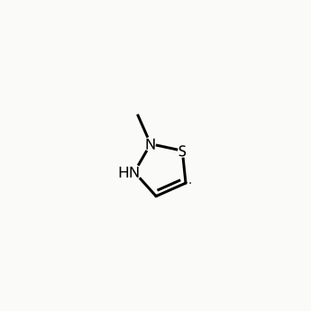 CN1NC=[C]S1